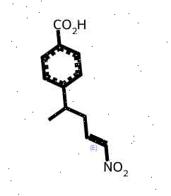 CC(C/C=C/[N+](=O)[O-])c1ccc(C(=O)O)cc1